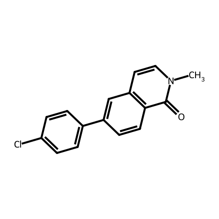 Cn1ccc2cc(-c3ccc(Cl)cc3)ccc2c1=O